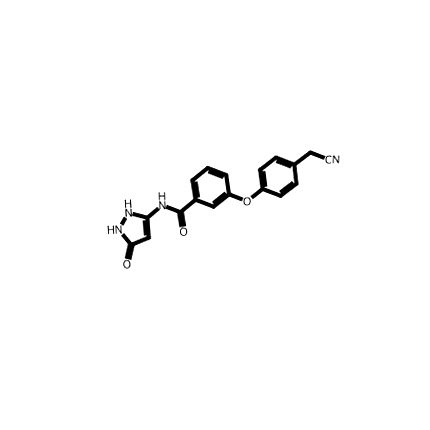 N#CCc1ccc(Oc2cccc(C(=O)Nc3cc(=O)[nH][nH]3)c2)cc1